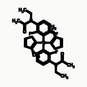 CCN(C(C)=O)c1ccc(F)[c]([Ti]([C]2=C(C)C=CC2)([C]2=C(C)C=CC2)[c]2c(F)ccc(N(CC)C(C)=O)c2F)c1F